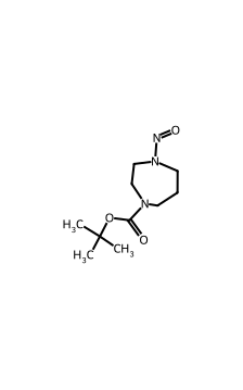 CC(C)(C)OC(=O)N1CCCN(N=O)CC1